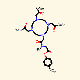 COC(=O)CN1CCN(CC(=O)OC)CCN(CC(=O)N(CC(=O)Oc2ccc([N+](=O)[O-])cc2)C(C)C)CCN(CC(=O)OC)CC1